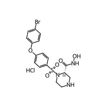 Cl.O=C(NO)[C@@H]1CNCCN1S(=O)(=O)c1ccc(Oc2ccc(Br)cc2)cc1